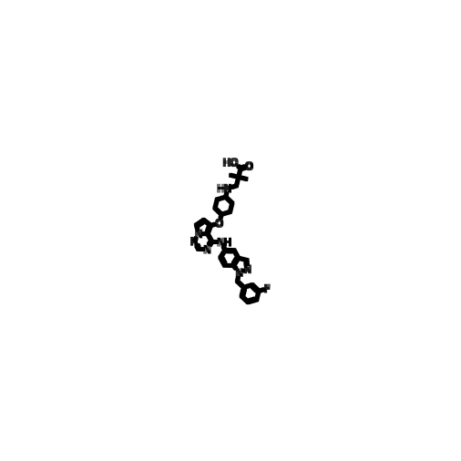 CC(C)(CNC1CCC(Oc2ccn3ncnc(Nc4ccc5c(cnn5Cc5cccc(F)c5)c4)c23)CC1)C(=O)O